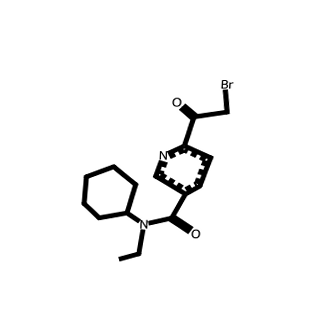 CCN(C(=O)c1ccc(C(=O)CBr)nc1)C1CCCCC1